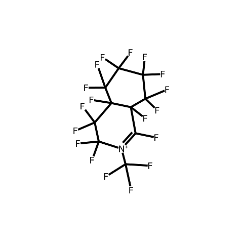 FC1=[N+](C(F)(F)F)C(F)(F)C(F)(F)C2(F)C(F)(F)C(F)(F)C(F)(F)C(F)(F)C12F